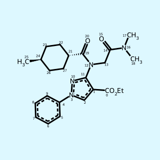 CCOC(=O)c1cn(-c2ccccc2)nc1N(CC(=O)N(C)C)C(=O)[C@H]1CC[C@H](C)CC1